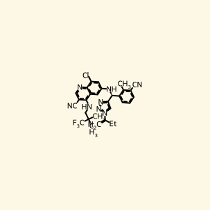 C=C(CC)n1cc([C@@H](Nc2cc(Cl)c3ncc(C#N)c(NCC(C)(C)C(F)(F)F)c3c2)c2cccc(C#N)c2C)nn1